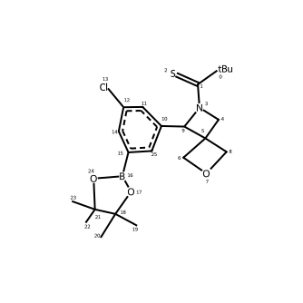 CC(C)(C)C(=S)N1CC2(COC2)C1c1cc(Cl)cc(B2OC(C)(C)C(C)(C)O2)c1